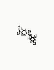 NC(=O)C1CCN(C(=O)NCc2ccc(Cl)cc2Cl)CC1